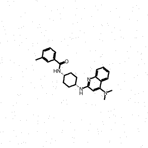 Cc1cccc(C(=O)N[C@H]2CC[C@@H](Nc3cc(N(C)C)c4ccccc4n3)CC2)c1